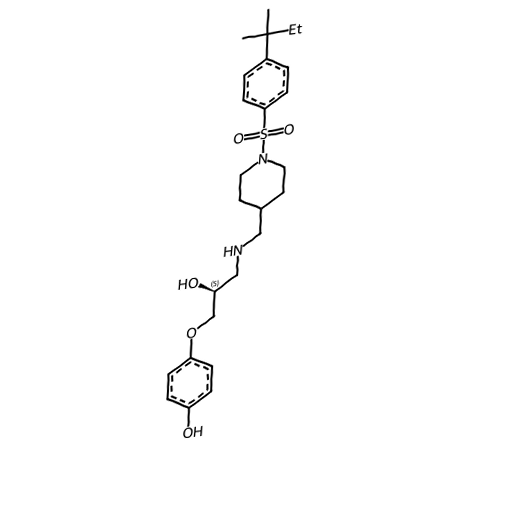 CCC(C)(C)c1ccc(S(=O)(=O)N2CCC(CNC[C@H](O)COc3ccc(O)cc3)CC2)cc1